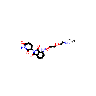 O=C(O)NCCOCCONc1cccc2c1C(=O)N(C1CCC(=O)NC1=O)C2=O